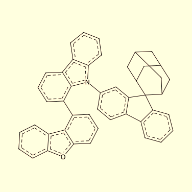 c1ccc2c(c1)-c1ccc(-n3c4ccccc4c4cccc(-c5cccc6oc7ccccc7c56)c43)cc1C21C2CC3CC(C2)CC1C3